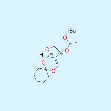 CCCCOC(C)O[C@H]1CO[C@@H]2OC3(CCCCC3)OC=C21